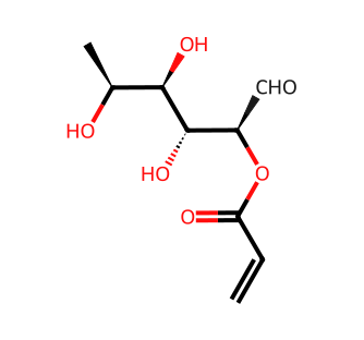 C=CC(=O)O[C@H](C=O)[C@H](O)[C@H](O)[C@H](C)O